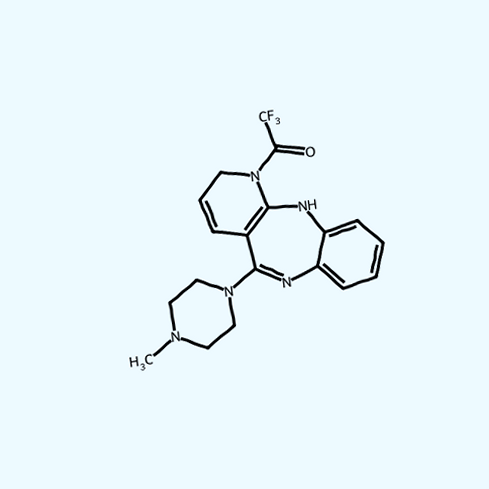 CN1CCN(C2=Nc3ccccc3NC3=C2C=CCN3C(=O)C(F)(F)F)CC1